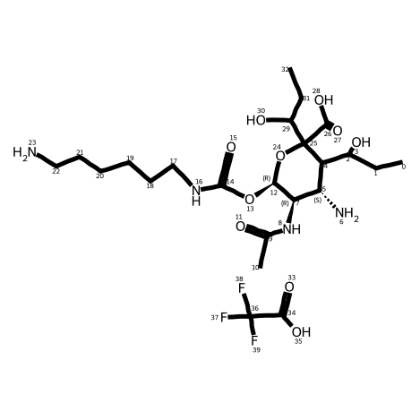 CCC(O)C1[C@H](N)[C@@H](NC(C)=O)[C@@H](OC(=O)NCCCCCCN)OC1(C(=O)O)C(O)CC.O=C(O)C(F)(F)F